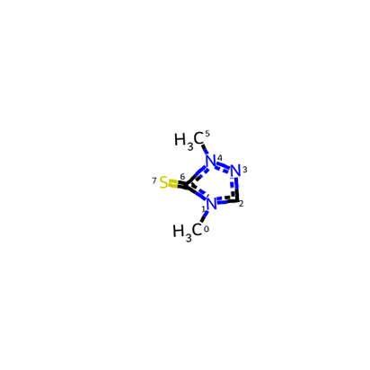 Cn1cnn(C)c1=S